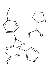 COc1ccc(N2C(=O)[C@](NC(C)=O)(c3ccccc3)[C@H]2C=CC(=O)[C@@H]2CCCO2)cc1